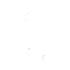 CN(c1ccc2c(c1)/C(=N\NC(=N)N)CC2)S(=O)(=O)c1c(I)nc2sccn12